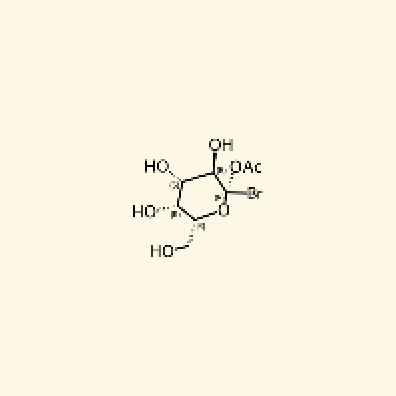 CC(=O)O[C@]1(Br)O[C@H](CO)[C@H](O)[C@H](O)[C@H]1O